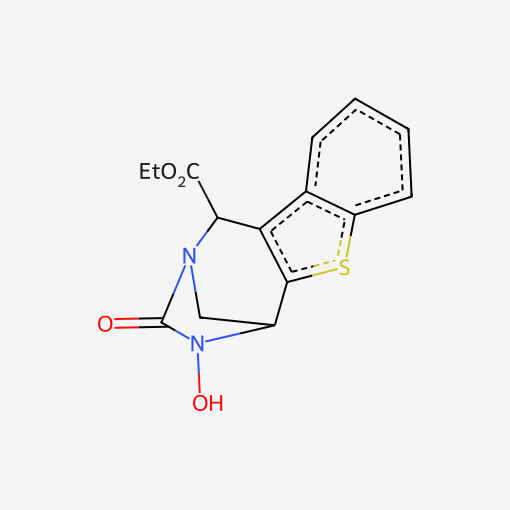 CCOC(=O)C1c2c(sc3ccccc23)C2CN1C(=O)N2O